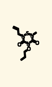 C=CCN1SN(C)C(=O)N(OCCC)C1=O